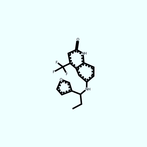 CCC(Nc1ccc2[nH]c(=O)cc(C(F)(F)F)c2c1)c1ccoc1